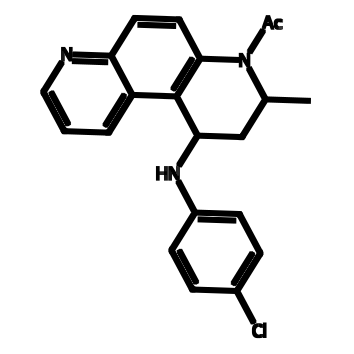 CC(=O)N1c2ccc3ncccc3c2C(Nc2ccc(Cl)cc2)CC1C